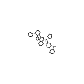 CC1(C)C2=CC(N(c3ccccc3)c3cc4c5cccc(-c6ccccc6)c5oc4c4ccccc34)=CCC2c2ccccc21